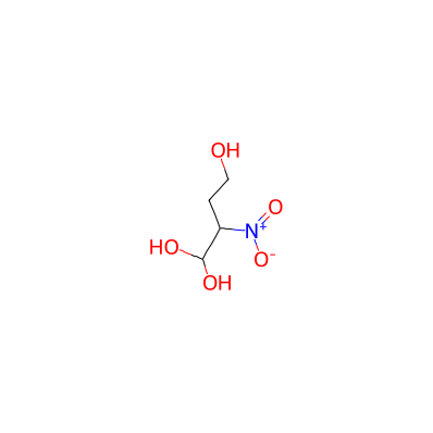 O=[N+]([O-])C(CCO)C(O)O